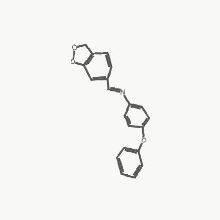 C(=N\c1ccc(Oc2ccccc2)cc1)/c1ccc2c(c1)OOC2